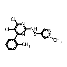 Cc1ccccc1-c1nc(NSc2cnn(C)c2)nc(Cl)c1Cl